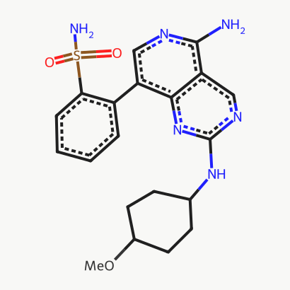 COC1CCC(Nc2ncc3c(N)ncc(-c4ccccc4S(N)(=O)=O)c3n2)CC1